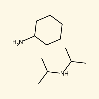 CC(C)NC(C)C.NC1CCCCC1